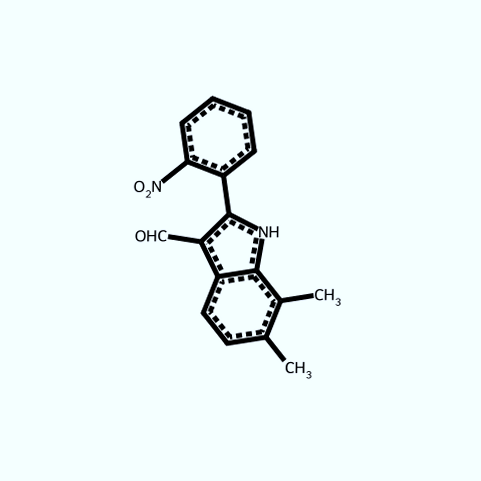 Cc1ccc2c(C=O)c(-c3ccccc3[N+](=O)[O-])[nH]c2c1C